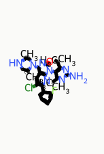 CC(C)c1nc(N)nc(C(C)C)c1-n1c(=O)nc(N2C[C@@H](C)NC[C@@H]2C)c2cc(Cl)c(-c3ccccc3F)nc21